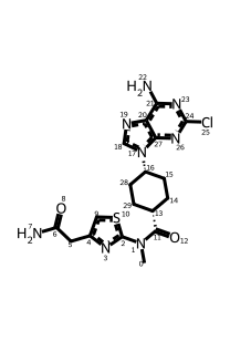 CN(c1nc(CC(N)=O)cs1)C(=O)[C@H]1CC[C@@H](n2cnc3c(N)nc(Cl)nc32)CC1